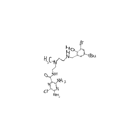 CN(CCNCc1cc(C(C)(C)C)cc(Br)c1O)CCNC(=O)c1nc(Cl)c(N)nc1N